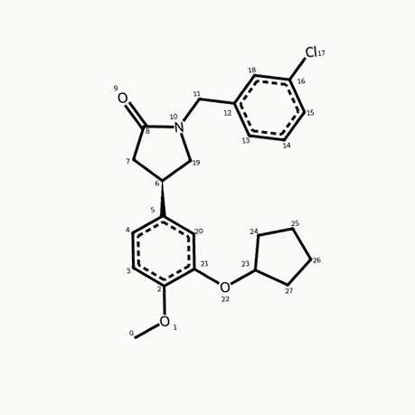 COc1ccc([C@H]2CC(=O)N(Cc3cccc(Cl)c3)C2)cc1OC1CCCC1